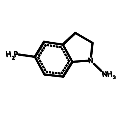 NN1CCc2cc(P)ccc21